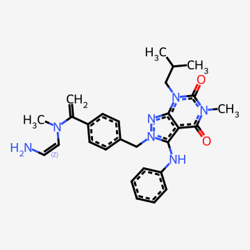 C=C(c1ccc(Cn2nc3c(c2Nc2ccccc2)c(=O)n(C)c(=O)n3CC(C)C)cc1)N(C)/C=C\N